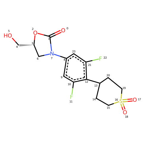 O=C1O[C@@H](CO)CN1c1cc(F)c(C2CCS(=O)(=O)CC2)c(F)c1